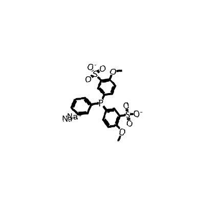 COc1ccc(P(c2ccccc2)c2ccc(OC)c(S(=O)(=O)[O-])c2)cc1S(=O)(=O)[O-].[Na+].[Na+]